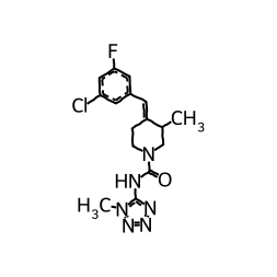 CC1CN(C(=O)Nc2nnnn2C)CC/C1=C\c1cc(F)cc(Cl)c1